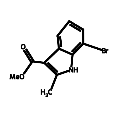 COC(=O)c1c(C)[nH]c2c(Br)cccc12